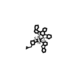 Cc1ccccc1-c1c(Cc2nc3sc4ccc(CC5CC5)cc4c3nc2-c2cccc3c2Cc2ccccc2-3)c2sc3ccc4ccccc4c3c2c2ccccc12